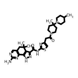 CC1CCN(C2(C)CCN(C(=O)Cc3csc(NC(=O)c4n[nH]c5c4C(C)(C)Cc4cnc(N)nc4-5)n3)CC2)CC1